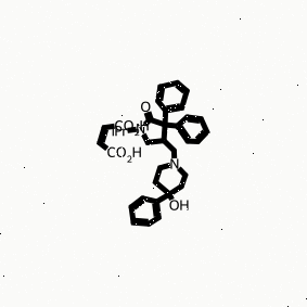 CC(C)N1CC(CN2CCC(O)(c3ccccc3)CC2)C(c2ccccc2)(c2ccccc2)C1=O.O=C(O)/C=C\C(=O)O